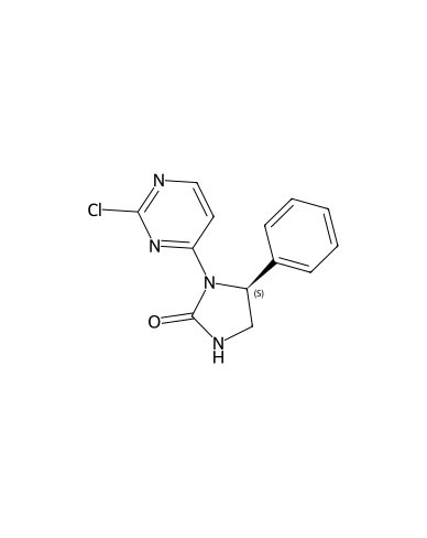 O=C1NC[C@H](c2ccccc2)N1c1ccnc(Cl)n1